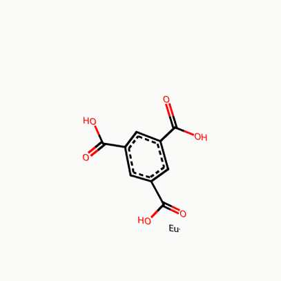 O=C(O)c1cc(C(=O)O)cc(C(=O)O)c1.[Eu]